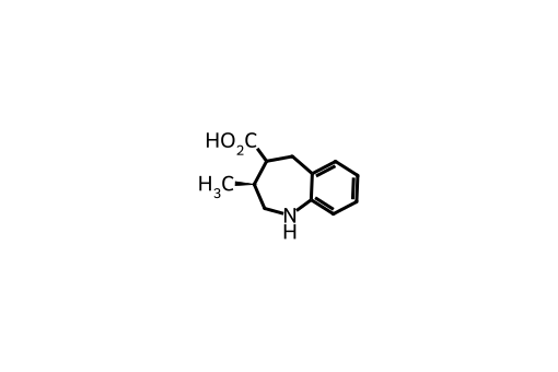 C[C@@H]1CNc2ccccc2CC1C(=O)O